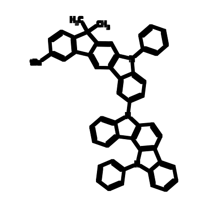 CC(C)(C)c1ccc2c(c1)-c1cc3c4cc(-n5c6ccccc6c6c5ccc5c7ccccc7n(-c7ccccc7)c56)ccc4n(-c4ccccc4)c3cc1C2(C)C